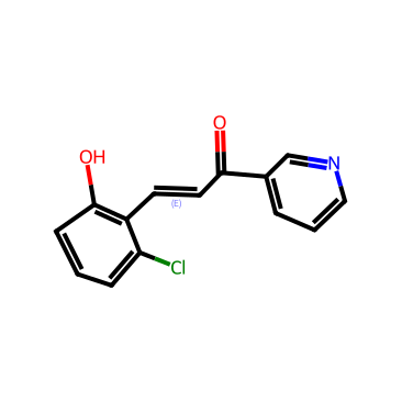 O=C(/C=C/c1c(O)cccc1Cl)c1cccnc1